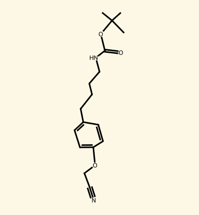 CC(C)(C)OC(=O)NCCCCc1ccc(OCC#N)cc1